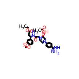 CC(=O)O.CCOC(=O)CC(NC(=O)CN1CCN(c2ccc(C(=N)N)cc2)CC1=O)c1ccc2c(c1)OCO2